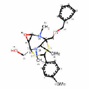 COc1ccc(C2SC3(COCc4ccccc4)C(OC)N(C)[C@@](CO)(S2)C2OC2N3C)cc1